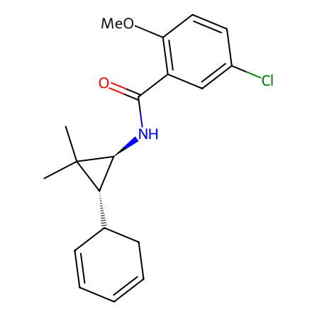 COc1ccc(Cl)cc1C(=O)N[C@H]1[C@H](C2C=CC=CC2)C1(C)C